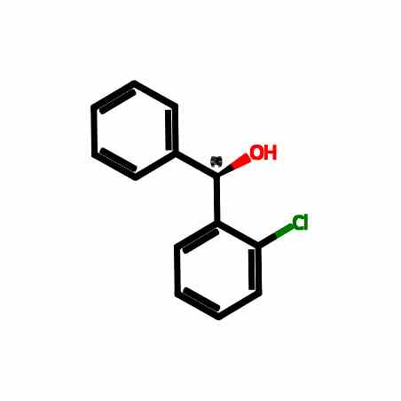 O[C@H](c1ccccc1)c1ccccc1Cl